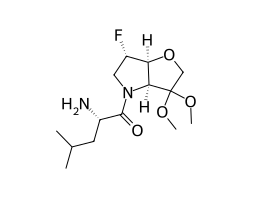 COC1(OC)CO[C@H]2[C@@H]1N(C(=O)[C@@H](N)CC(C)C)C[C@@H]2F